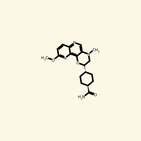 COc1ccc2ncc3c(c2n1)OC([C@H]1CC[C@H](C(N)=O)CC1)CN3C